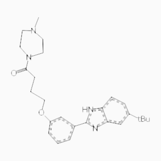 CN1CCN(C(=O)CCCOc2cccc(-c3nc4cc(C(C)(C)C)ccc4[nH]3)c2)CC1